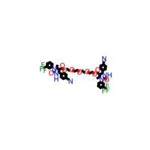 CC1=C(C(=O)OCCOCCOCCOCCOC(=O)C2=C(C)N(c3cccc(C(F)(F)F)c3)C(=O)NC2c2ccc(C#N)cc2)C(c2ccc(C#N)cc2)NC(=O)N1c1cccc(C(F)(F)F)c1